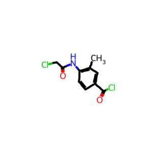 Cc1cc(C(=O)Cl)ccc1NC(=O)CCl